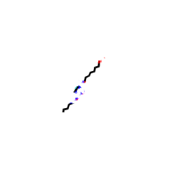 CCCCCNC(=O)n1cc(F)c(NC(=O)CCCCCCC(=O)OC)nc1=O